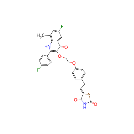 Cc1cc(F)cc2c(=O)c(OCCOc3ccc(CC=C4SC(=O)NC4=O)cc3)c(-c3ccc(F)cc3)[nH]c12